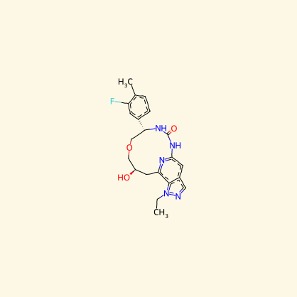 CCn1ncc2cc3nc(c21)C[C@@H](O)COC[C@H](c1ccc(C)c(F)c1)NC(=O)N3